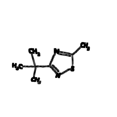 Cc1nc(C(C)(C)C)ns1